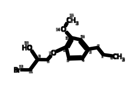 CCCc1ccc(OCC(O)CBr)c(OC)c1